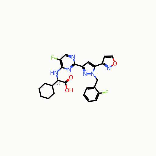 O=C(O)[C@H](Nc1nc(-c2cc(-c3ccon3)n(Cc3ccccc3F)n2)ncc1F)C1CCCCC1